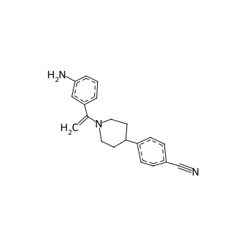 C=C(c1cccc(N)c1)N1CCC(c2ccc(C#N)cc2)CC1